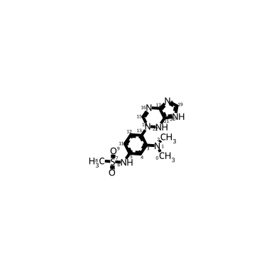 CN(C)c1cc(NS(C)(=O)=O)ccc1N1C=Nc2nc[nH]c2N1